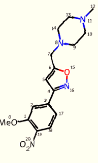 COc1cc(-c2cc(CN3CCN(C)CC3)on2)ccc1[N+](=O)[O-]